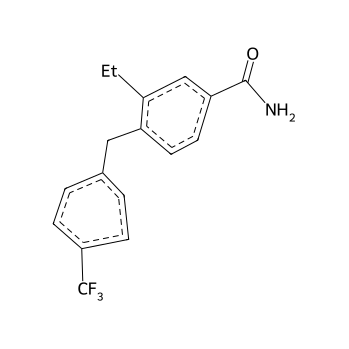 CCc1cc(C(N)=O)ccc1Cc1ccc(C(F)(F)F)cc1